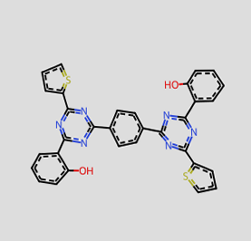 Oc1ccccc1-c1nc(-c2ccc(-c3nc(-c4cccs4)nc(-c4ccccc4O)n3)cc2)nc(-c2cccs2)n1